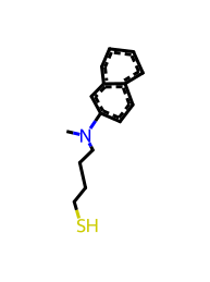 CN(CCCCS)c1ccc2ccccc2c1